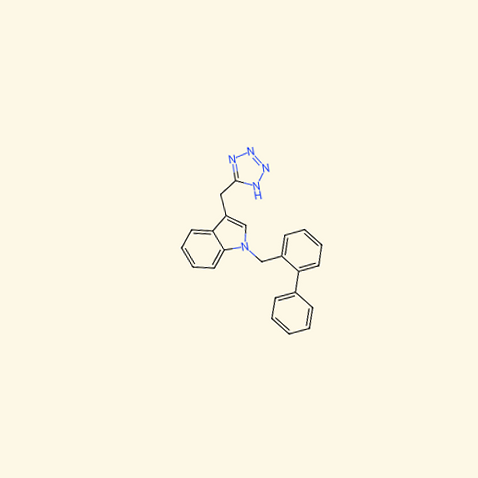 c1ccc(-c2ccccc2Cn2cc(Cc3nnn[nH]3)c3ccccc32)cc1